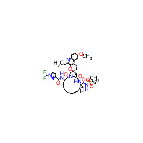 CCc1nc2ccc(OC)cc2c2c1O[C@]1(CC2)C[C@H]2C(=O)N[C@]3(C(=O)NS(=O)(=O)C4(C)CC4)C[C@H]3C=CCCCCC[C@H](NC(=O)c3ccn(C(F)F)n3)C(=O)N2C1